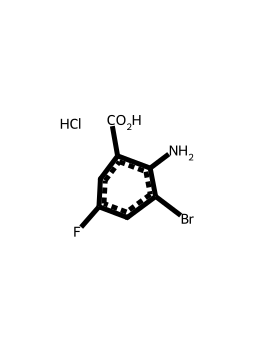 Cl.Nc1c(Br)cc(F)cc1C(=O)O